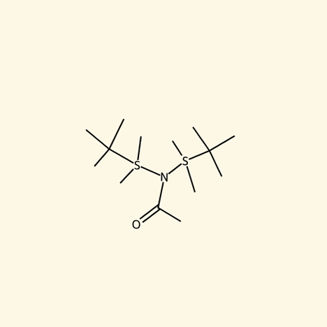 CC(=O)N(S(C)(C)C(C)(C)C)S(C)(C)C(C)(C)C